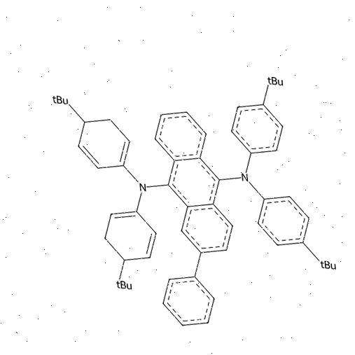 CC(C)(C)c1ccc(N(c2ccc(C(C)(C)C)cc2)c2c3ccccc3c(N(C3=CCC(C(C)(C)C)C=C3)C3=CCC(C(C)(C)C)C=C3)c3cc(-c4ccccc4)ccc23)cc1